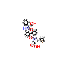 O=C(O)CCN(CCc1cccs1)C(=O)c1ccccc1-c1ccccc1C(=O)NC(CO)c1ccccc1